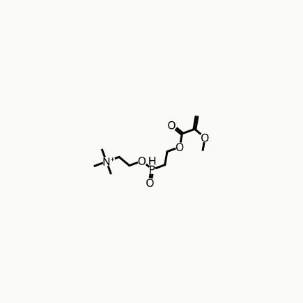 C=C(OC)C(=O)OCC[PH](=O)OCC[N+](C)(C)C